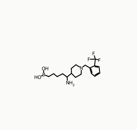 NC(CCCCB(O)O)C1CCN(Cc2ccccc2C(F)(F)F)CC1